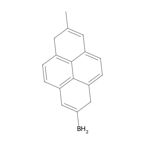 BC1=Cc2ccc3c4c(ccc(c24)C1)C=C(C)C3